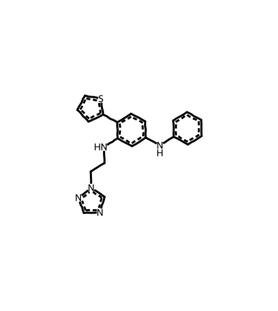 c1ccc(Nc2ccc(-c3cccs3)c(NCCn3cncn3)c2)cc1